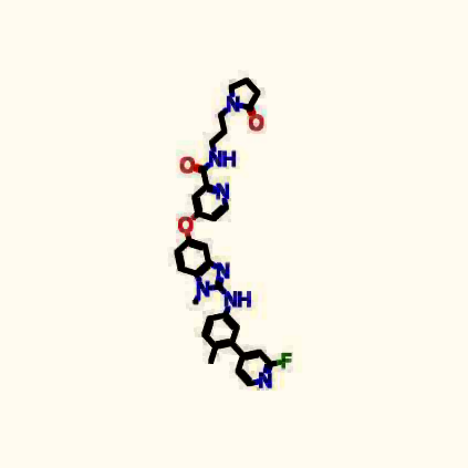 Cc1ccc(Nc2nc3cc(Oc4ccnc(C(=O)NCCCN5CCCC5=O)c4)ccc3n2C)cc1-c1ccnc(F)c1